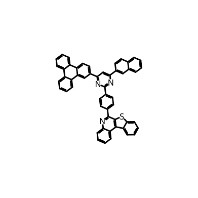 c1ccc2cc(-c3cc(-c4ccc5c6ccccc6c6ccccc6c5c4)nc(-c4ccc(-c5nc6ccccc6c6c5sc5ccccc56)cc4)n3)ccc2c1